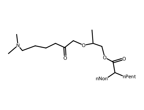 CCCCCCCCCC(CCCCC)C(=O)OCC(C)OCC(=O)CCCCN(C)C